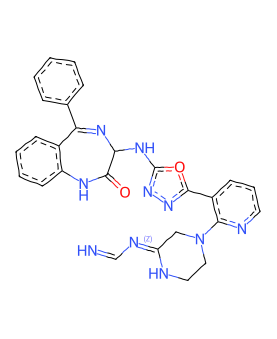 N=C/N=C1/CN(c2ncccc2-c2nnc(NC3N=C(c4ccccc4)c4ccccc4NC3=O)o2)CCN1